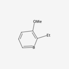 CCc1bcccc1OC